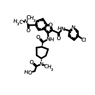 CN(C)C(=O)c1ccc2oc(C(=O)Nc3ccc(Cl)cn3)c(NC(=O)[C@H]3CC[C@H](N(C)C(=O)CO)CC3)c2c1